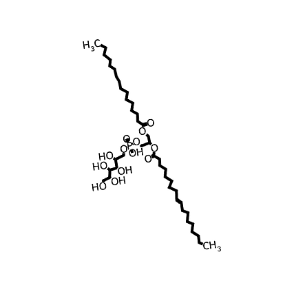 CCCCCCCCC=CCCCCCCCC(=O)OC(COC(=O)CCCCCCCCCCCCCCC)COP(=O)(O)OCC(O)C(O)C(O)C(O)CO